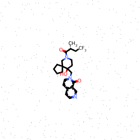 C[C@H](CC(F)(F)F)C(=O)N1CCC(O)(Cn2ccc3ccncc3c2=O)C2(CCCC2)C1